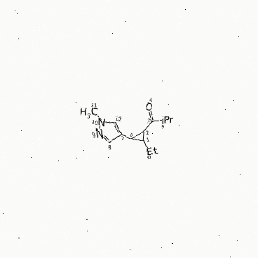 CCC1C(C(=O)C(C)C)C1c1cnn(C)c1